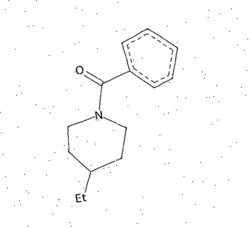 CCC1CCN(C(=O)c2ccccc2)CC1